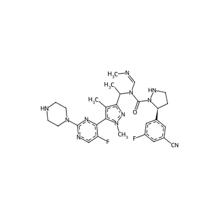 C/N=C\N(C(=O)N1NCC[C@H]1c1cc(F)cc(C#N)c1)C(C)c1nn(C)c(-c2nc(N3CCNCC3)ncc2F)c1C